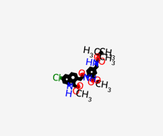 COC(=O)c1cc(CNC(=O)OC(C)(C)C)ccc1NC(=O)CC1CCc2cc(Cl)cc3[nH]c(C(=O)OC)c1c23